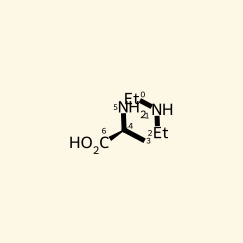 CCNCC.C[C@H](N)C(=O)O